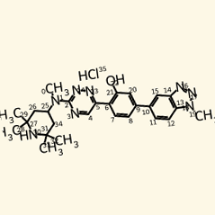 CN(c1ncc(-c2ccc(-c3ccc4c(c3)nnn4C)cc2O)nn1)C1CC(C)(C)NC(C)(C)C1.Cl